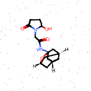 O=C(CN1C(=O)CCC1O)N[C@@]12C[C@@H]3C[C@@H](C[C@H](C3)O1)C2